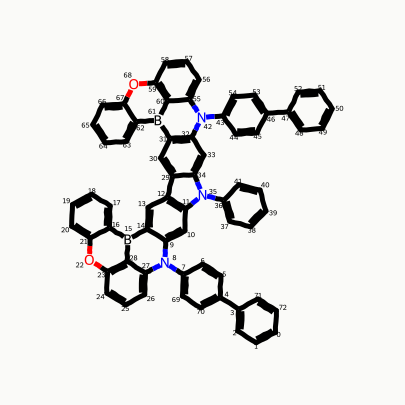 c1ccc(-c2ccc(N3c4cc5c(cc4B4c6ccccc6Oc6cccc3c64)c3cc4c(cc3n5-c3ccccc3)N(c3ccc(-c5ccccc5)cc3)c3cccc5c3B4c3ccccc3O5)cc2)cc1